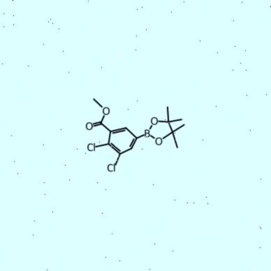 COC(=O)c1cc(B2OC(C)(C)C(C)(C)O2)cc(Cl)c1Cl